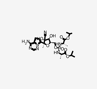 CC(C)OC(=O)[C@H](C)NP(=O)(N[C@@H](C)C(=O)OC(C)C)OC[C@H]1O[C@@](C)(c2ccc3c(N)ncnn23)[C@@](O)(C#N)[C@@H]1O